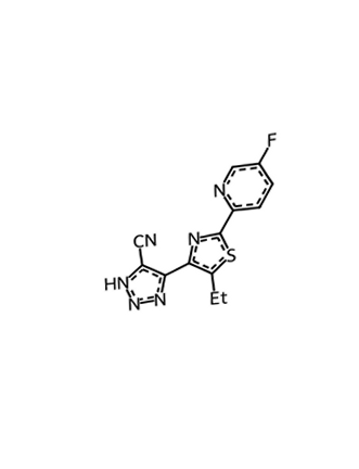 CCc1sc(-c2ccc(F)cn2)nc1-c1nn[nH]c1C#N